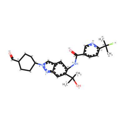 CC(C)(O)c1cc2nn(C3CCC(C=O)CC3)cc2cc1NC(=O)c1ccc(C(C)(C)F)nc1